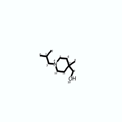 C[C](C)CN1CCC(C)(CO)CC1